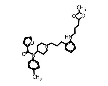 Cc1ccc(N(C(=O)c2ccco2)C2CCN(CCCc3ccccc3NCCCC3OC(C)O3)CC2)cc1